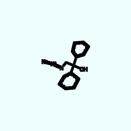 [N-]=[N+]=NCC(O)(c1ccccc1)c1ccccc1